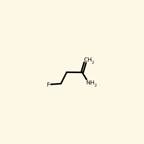 C=C(N)CCF